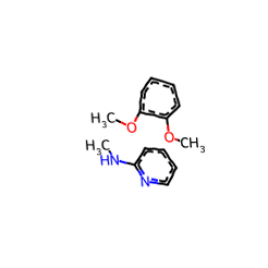 CNc1ccccn1.COc1ccccc1OC